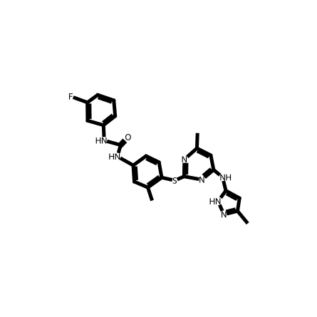 Cc1cc(Nc2cc(C)nc(Sc3ccc(NC(=O)Nc4cccc(F)c4)cc3C)n2)[nH]n1